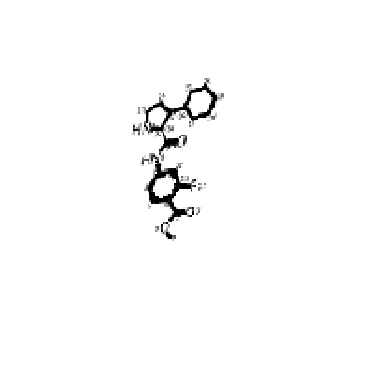 COC(=O)c1ccc(NC(=O)[C@H]2NCCC2C2CCCCC2)cc1F